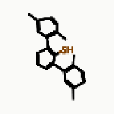 Cc1ccc(C)c(-c2cccc(-c3cc(C)ccc3C)c2S)c1